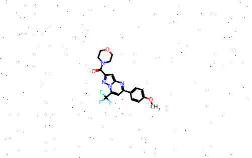 COc1ccc(-c2cc(C(F)(F)F)n3nc(C(=O)N4CCOCC4)cc3n2)cc1